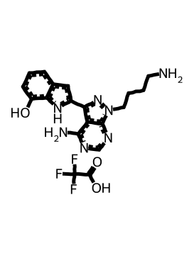 NCCCCn1nc(-c2cc3cccc(O)c3[nH]2)c2c(N)ncnc21.O=C(O)C(F)(F)F